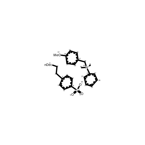 CCCCCCCCCCCCc1ccc(S(=O)(=O)[O-])cc1.COc1ccc(C[N+](C)(C)c2ccccc2)cc1